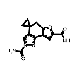 NC(=O)c1cc2c(o1)CC1(CC1)c1cn(C(N)=O)nc1-2